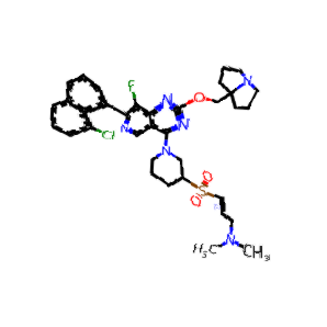 CN(C)C/C=C/S(=O)(=O)C1CCCN(c2nc(OCC34CCCN3CCC4)nc3c(F)c(-c4cccc5cccc(Cl)c45)ncc23)C1